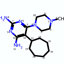 CN1CCN(c2nc(N)nc(N)c2C2CCCCCC2)CC1